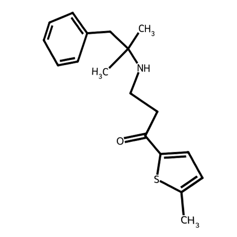 Cc1ccc(C(=O)CCNC(C)(C)Cc2ccccc2)s1